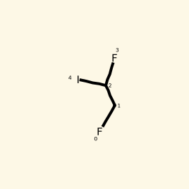 FCC(F)I